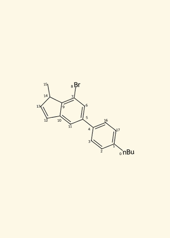 CCCCc1ccc(-c2cc(Br)c3c(c2)C=CC3C)cc1